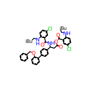 CCC(C)CNc1ccc(Cl)cc1C(=O)NC(CC(=O)OC(=O)c1cc(Cl)ccc1NCC(C)CC)c1ccc(-c2ccccc2OCc2ccccc2)cc1